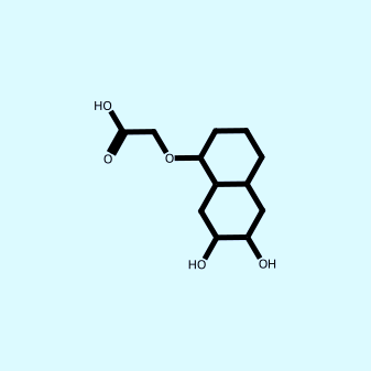 O=C(O)COC1CCCC2CC(O)C(O)CC21